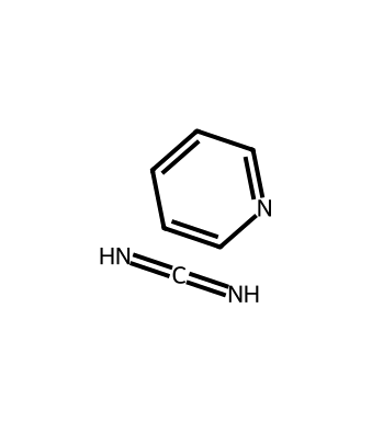 N=C=N.c1ccncc1